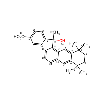 CC1(C)CCC(C)(C)c2cc3c(C(C)(O)c4ccc(C(=O)O)cc4)cccc3cc21